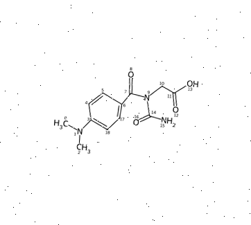 CN(C)c1ccc(C(=O)N(CC(=O)O)C(N)=O)cc1